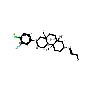 CCC=C[C@@H]1CC[C@H]2[C@H](CC[C@H]3C[C@H](c4ccc(Cl)c(F)c4)CC[C@@H]32)C1